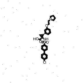 O=C(O)C1(NS(=O)(=O)c2ccc(-c3ccc(Cl)cc3)cc2)C[C@H]1c1cccc(OCCN2CCCC2)c1